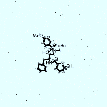 CC[C@H](C)CN(CC(O)C(Cc1ccccc1)NC(=O)c1cccc(C)n1)S(=O)(=O)c1ccc(OC)cc1